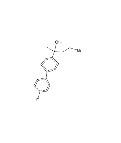 CC(O)(CCBr)c1ccc(-c2ccc(F)cc2)cc1